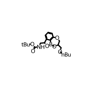 CCCCOCC1COc2cccc3c2B(O1)OC3CNC(=O)OC(C)(C)C